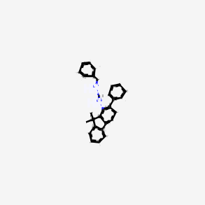 CC1(C)c2ccccc2-c2ccc(-c3ccccc3)c(NCNCc3ccccc3)c21